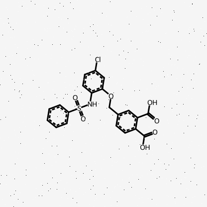 O=C(O)c1ccc(COc2cc(Cl)ccc2NS(=O)(=O)c2ccccc2)cc1C(=O)O